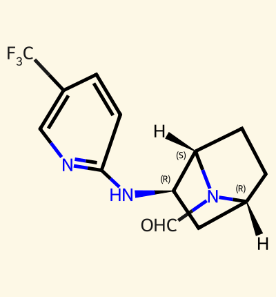 O=CN1[C@@H]2CC[C@H]1[C@H](Nc1ccc(C(F)(F)F)cn1)C2